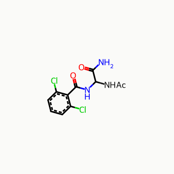 CC(=O)NC(NC(=O)c1c(Cl)cccc1Cl)C(N)=O